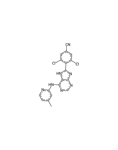 Cc1ccnc(Nc2ncnc3nc(-c4c(Cl)cc(C#N)cc4Cl)[nH]c23)c1